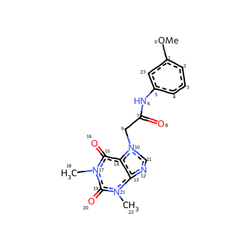 COc1cccc(NC(=O)Cn2cnc3c2c(=O)n(C)c(=O)n3C)c1